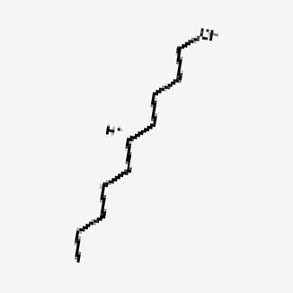 CCCCCCCCCCO.[H+]